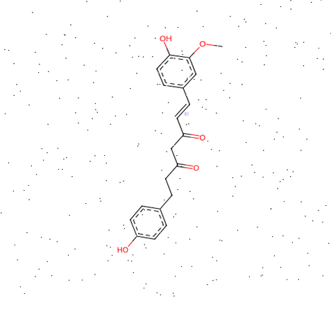 COc1cc(/C=C/C(=O)CC(=O)CCc2ccc(O)cc2)ccc1O